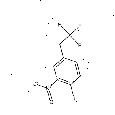 O=[N+]([O-])c1cc(CC(F)(F)F)ccc1I